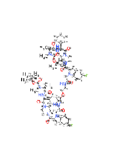 C[C@@H](C(=O)N[C@H](C(=O)N1CCN(C(=O)c2cc3cc(F)ccc3n2CC(=O)NCCOCCNC(=O)Cn2c(C(=O)N3CCN(C(=O)[C@@H](NC(=O)[C@H](C)N(C)C(=O)OC(C)(C)C)C4CCCCC4)CC3)cc3cc(F)ccc32)CC1)C1CCCCC1)N(C)C(=O)OC(C)(C)C